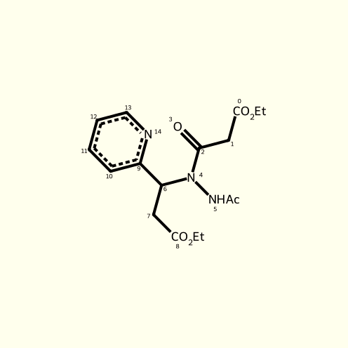 CCOC(=O)CC(=O)N(NC(C)=O)C(CC(=O)OCC)c1ccccn1